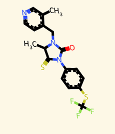 Cc1cnccc1CN1C(=O)N(c2ccc(SC(F)(F)F)cc2)C(=S)C1C